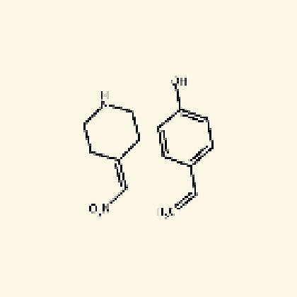 C=Cc1ccc(O)cc1.O=[N+]([O-])C=C1CCNCC1